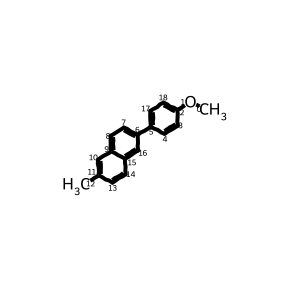 COc1ccc(-c2ccc3cc(C)ccc3c2)cc1